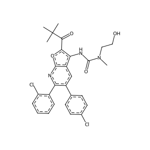 CN(CCO)C(=O)Nc1c(C(=O)C(C)(C)C)oc2nc(-c3ccccc3Cl)c(-c3ccc(Cl)cc3)cc12